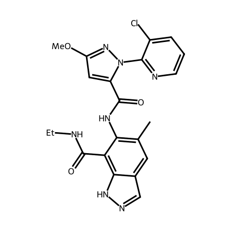 CCNC(=O)c1c(NC(=O)c2cc(OC)nn2-c2ncccc2Cl)c(C)cc2cn[nH]c12